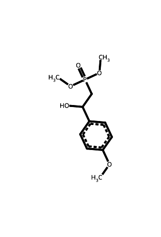 COc1ccc(C(O)CP(=O)(OC)OC)cc1